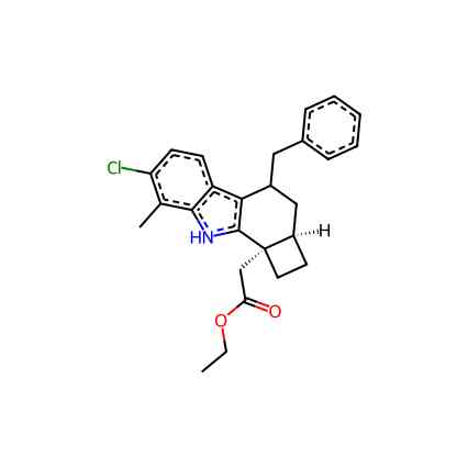 CCOC(=O)C[C@@]12CC[C@@H]1CC(Cc1ccccc1)c1c2[nH]c2c(C)c(Cl)ccc12